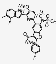 CNC(=O)c1c(-c2ccc(F)cc2)oc2cc(N(C)S(C)(=O)=O)c(-c3ncc(OC)c(-c4cc5c(F)c(F)ccc5[nH]4)n3)cc12